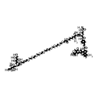 CC[C@@]1(O)C(=O)OCc2c1cc1n(c2=O)Cc2c-1nc1cc(F)c(C)c3c1c2[C@@H](NC(=O)OCc1ccc(NC(=O)[C@H](CCCNC(N)=O)NC(=O)[C@@H](NC(=O)[C@@H](N)CCCCNC(=O)CCOCCOCCOCCOCCOCCOCCOCCOCCOCCOCCOCCOCCN(C[C@@H](O)[C@@H](O)[C@H](O)[C@H](O)CO)C[C@@H](O)[C@@H](O)[C@H](O)[C@H](O)CO)C(C)C)cc1)CC3